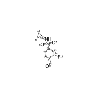 O=Cc1ccc(S(=O)(=O)NC2CC2)cc1F